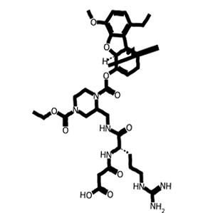 C=C1CC[C@]23c4c(CC)ccc(OC)c4O[C@@H]2C(OC(=O)N2CCN(C(=O)OCC)CC2CNC(=O)[C@H](CCCNC(=N)N)NC(=O)CC(=O)O)=CCC13